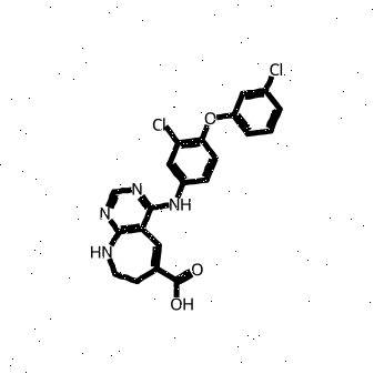 O=C(O)C1=Cc2c(ncnc2Nc2ccc(Oc3cccc(Cl)c3)c(Cl)c2)NCC1